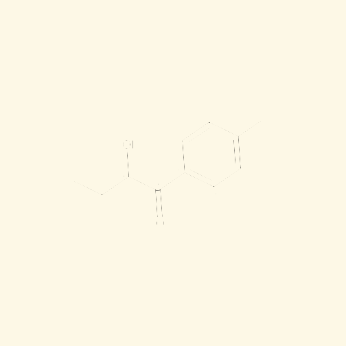 [CH2]CC(O)C(=O)c1ccc(F)cc1